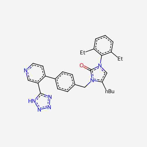 CCCCc1cn(-c2c(CC)cccc2CC)c(=O)n1Cc1ccc(-c2ccncc2-c2nnn[nH]2)cc1